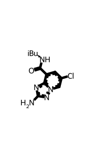 CC[C@H](C)NC(=O)c1cc(Cl)cn2nc(N)nc12